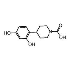 O=C(O)N1CCC(c2ccc(O)cc2O)CC1